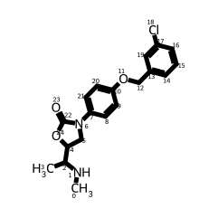 CNC(C)C1CN(c2ccc(OCc3cccc(Cl)c3)cc2)C(=O)O1